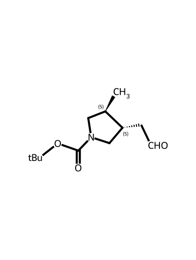 C[C@@H]1CN(C(=O)OC(C)(C)C)C[C@H]1CC=O